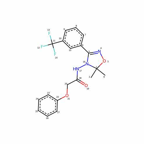 CC1(C)ON=C(c2cccc(C(F)(F)F)c2)N1NC(=O)COc1ccccc1